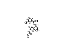 CCCN(NCC(O)c1cccc(Cl)c1)c1cc(C)c(CC(=O)OC)cc1Cl